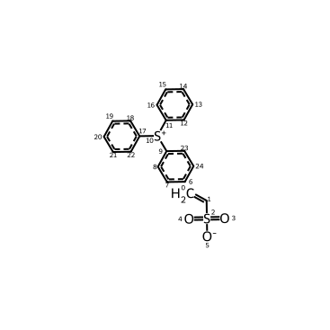 C=CS(=O)(=O)[O-].c1ccc([S+](c2ccccc2)c2ccccc2)cc1